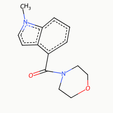 Cn1ccc2c(C(=O)N3CCOCC3)cccc21